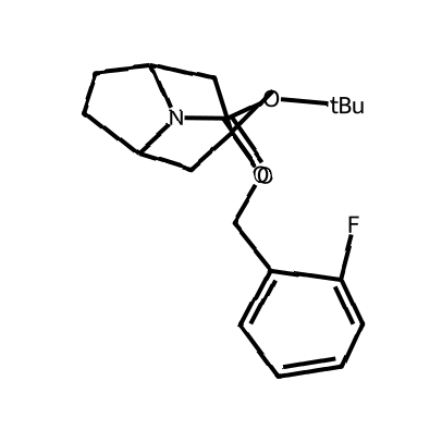 CC(C)(C)OC(=O)N1C2CCC1CC(C)(OCc1ccccc1F)C2